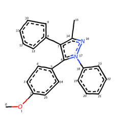 COc1ccc(-c2c(-c3ccccc3)c(C)nn2-c2ccccc2)cc1